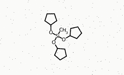 C[Si](OC1CCCC1)(OC1CCCC1)OC1CCCC1